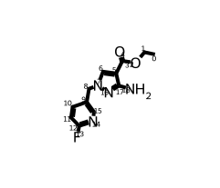 CCOC(=O)c1cn(Cc2ccc(F)nc2)nc1N